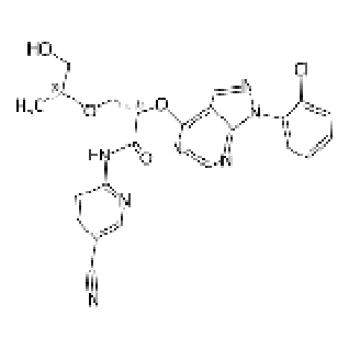 C[C@H](CO)OC[C@H](Oc1ncnc2c1cnn2-c1ccccc1Cl)C(=O)Nc1ccc(C#N)cn1